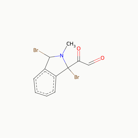 CN1C(Br)c2ccccc2C1(Br)C(=O)C=O